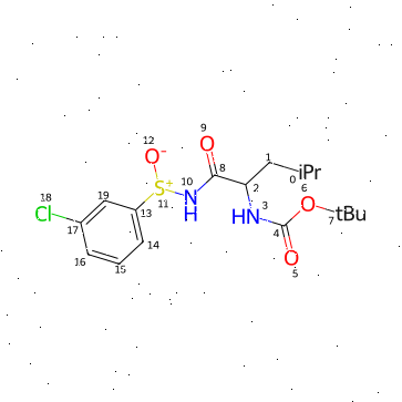 CC(C)CC(NC(=O)OC(C)(C)C)C(=O)N[S+]([O-])c1cccc(Cl)c1